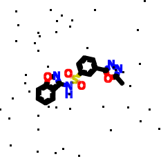 Cc1nnc(-c2cccc(S(=O)(=O)Nc3noc4ccccc34)c2)o1